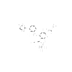 [2H]C([2H])([2H])N1Cc2nc(NC(=O)C3CC3)cc(Nc3cccc(-c4ncn(C)n4)c3OC)c2C1=C=O